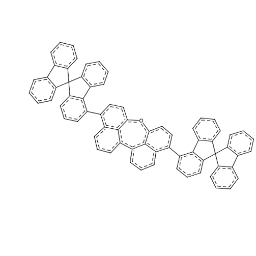 c1ccc2c(c1)-c1ccccc1C21c2ccccc2-c2c(-c3ccc4oc5ccc(-c6cccc7c6-c6ccccc6C76c7ccccc7-c7ccccc76)c6cccc(c7cccc3c47)c56)cccc21